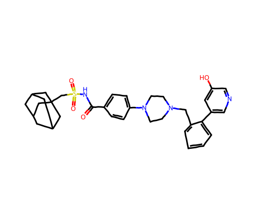 O=C(NS(=O)(=O)CC12CC3CC(CC(C3)C1)C2)c1ccc(N2CCN(Cc3ccccc3-c3cncc(O)c3)CC2)cc1